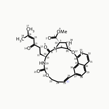 COC(=O)[C@@H]1C[C@@H]2CN1C(=O)[C@H](CCC(=O)C=C(C)C)NC(=O)OCC/C=C/c1ccc3ccnc(c3c1)O2